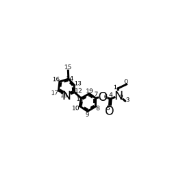 CCN(C)C(=O)Oc1cccc(-c2cc(C)ccn2)c1